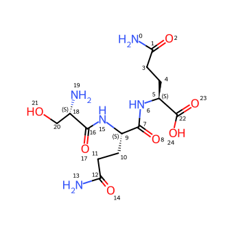 NC(=O)CC[C@H](NC(=O)[C@H](CCC(N)=O)NC(=O)[C@@H](N)CO)C(=O)O